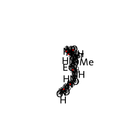 CCc1cc(Nc2ncc(Br)c(Nc3ccc4nccnc4c3P(C)(C)=O)n2)c(OC)cc1N1CCC(NCCNC(=O)C2CN(c3ccc(C4CCC(=O)NC4=O)cc3)C2)CC1